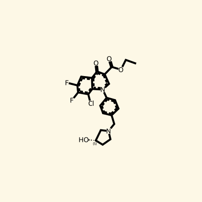 CCOC(=O)c1cn(-c2ccc(CN3CC[C@H](O)C3)cc2)c2c(Cl)c(F)c(F)cc2c1=O